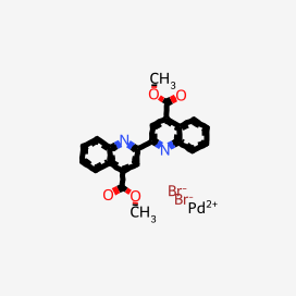 COC(=O)c1cc(-c2cc(C(=O)OC)c3ccccc3n2)nc2ccccc12.[Br-].[Br-].[Pd+2]